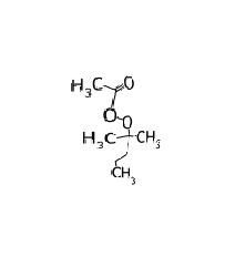 CCCC(C)(C)OOC(C)=O